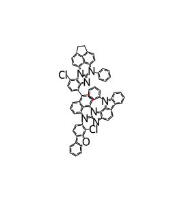 Clc1c(-n2c3cccc4c(-c5ccc(Cl)c6c5nc5n(-c7ccccc7)c7ccc8c9c(ccc(c97)n65)CC8)ccc(c43)n3c4c(ccc5c6ccccc6n(-c6ccccc6)c54)nc23)ccc2c1oc1ccccc12